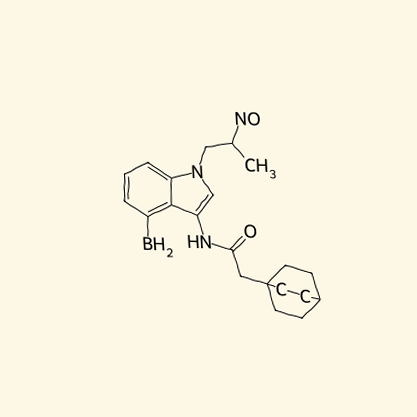 Bc1cccc2c1c(NC(=O)CC13CCC(CC1)CC3)cn2CC(C)N=O